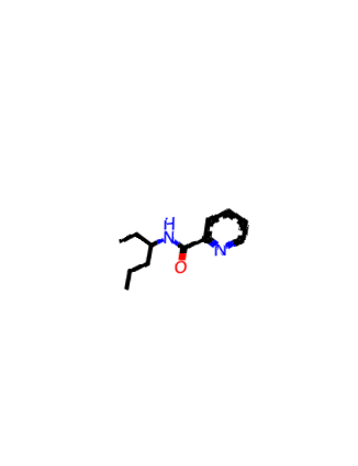 CCCC(CC)NC(=O)c1ccccn1